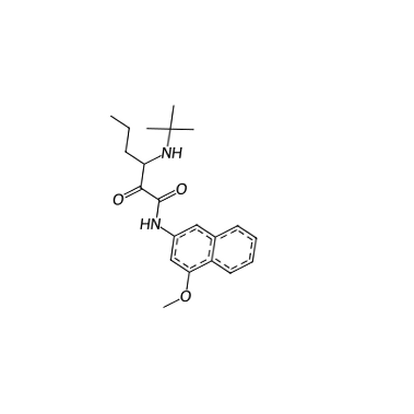 CCCC(NC(C)(C)C)C(=O)C(=O)Nc1cc(OC)c2ccccc2c1